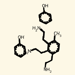 Cc1ccc(CCN)c(CCN)c1CCN.Oc1ccccc1.Oc1ccccc1